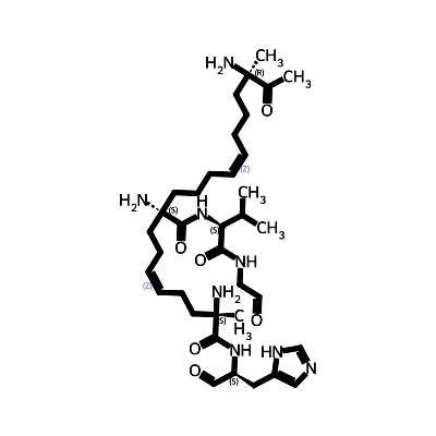 CC(=O)[C@](C)(N)CCC/C=C\CCC[C@](N)(CC/C=C\CC[C@](C)(N)C(=O)N[C@H](C=O)Cc1cnc[nH]1)C(=O)N[C@H](C(=O)NCC=O)C(C)C